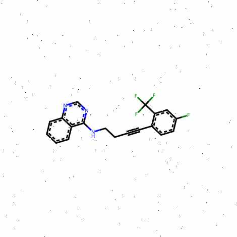 Fc1ccc(C#CCCNc2ncnc3ccccc23)c(C(F)(F)F)c1